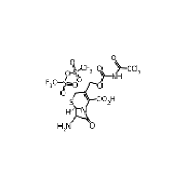 NC1C(=O)N2C(C(=O)O)=C(COC(=O)NC(=O)C(Cl)(Cl)Cl)CS[C@H]12.O=S(=O)(OS(=O)(=O)C(F)(F)F)C(F)(F)F